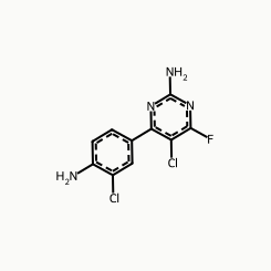 Nc1nc(F)c(Cl)c(-c2ccc(N)c(Cl)c2)n1